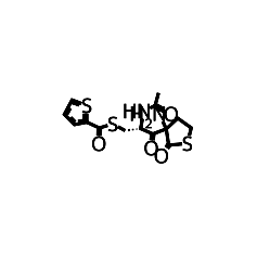 CC(=O)N[C@@H](CSC(=O)c1cccs1)C(=O)C1(N)CCSC1=O